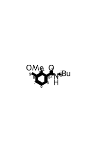 CCC(C)NC(=O)c1cccc(C)c1OC